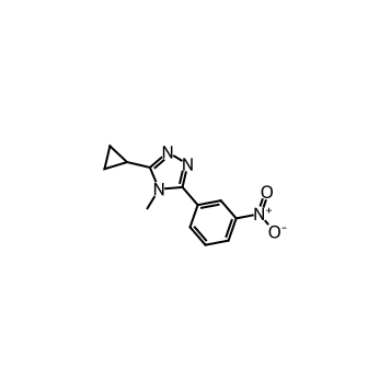 Cn1c(-c2cccc([N+](=O)[O-])c2)nnc1C1CC1